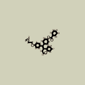 CN(C)CCOc1ccc(C(=C2CCOc3ccccc32)c2ccc(OC(=O)c3ccccc3)cc2)cc1